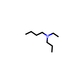 CCCCN(CC)CCC